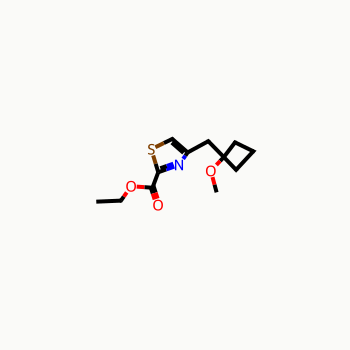 CCOC(=O)c1nc(CC2(OC)CCC2)cs1